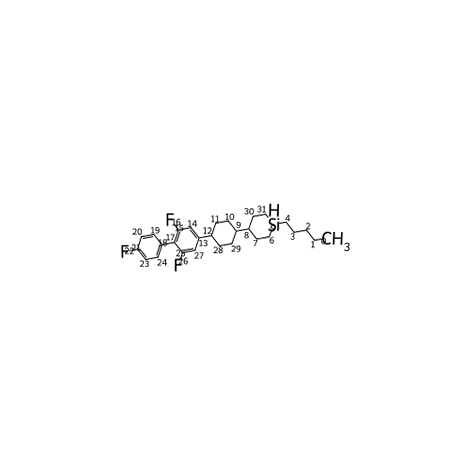 CCCCC[SiH]1CCC(C2CCC(c3cc(F)c(-c4ccc(F)cc4)c(F)c3)CC2)CC1